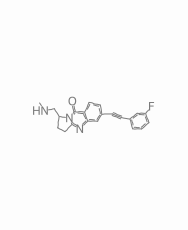 CNCC1CCc2nc3cc(C#Cc4cccc(F)c4)ccc3c(=O)n21